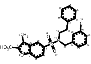 Cc1c(C(=O)O)oc2ccc(S(=O)(=O)N(CCc3ccccc3)Cc3cccc(Cl)c3)cc12